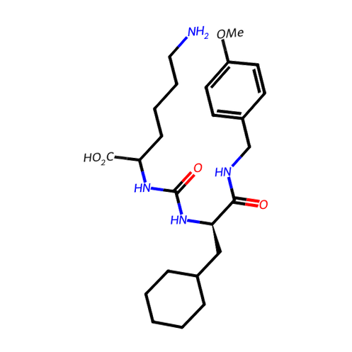 COc1ccc(CNC(=O)[C@@H](CC2CCCCC2)NC(=O)NC(CCCCN)C(=O)O)cc1